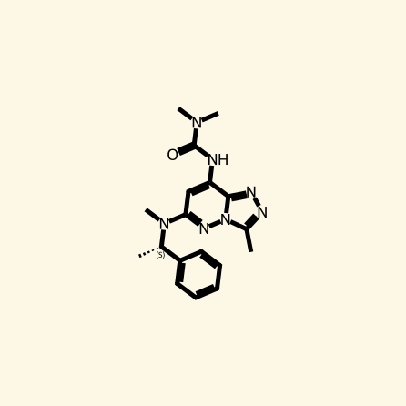 Cc1nnc2c(NC(=O)N(C)C)cc(N(C)[C@@H](C)c3ccccc3)nn12